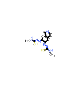 CN/C(S)=N/N=C(C)/C(Cc1ccncc1)=N/N=C(\S)NC